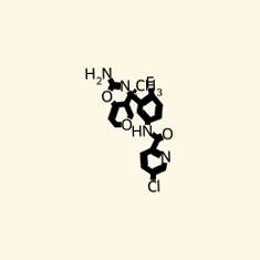 C[C@]1(c2cc(NC(=O)c3ccc(Cl)cn3)ccc2F)N=C(N)OC2=CCOCC21